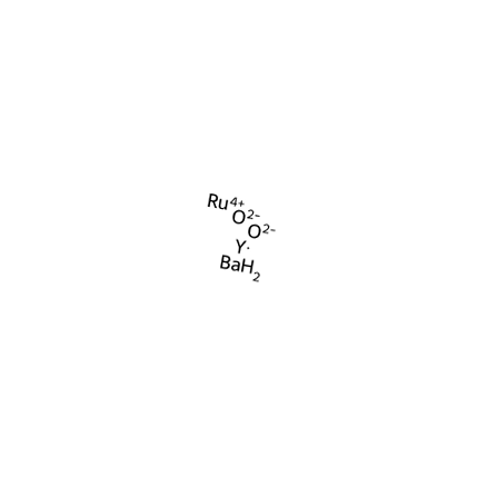 [BaH2].[O-2].[O-2].[Ru+4].[Y]